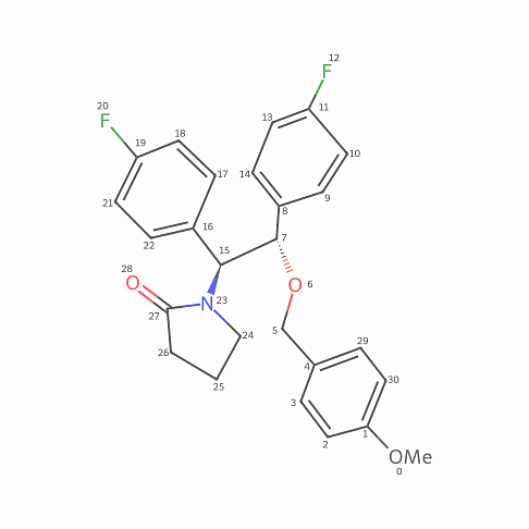 COc1ccc(CO[C@@H](c2ccc(F)cc2)[C@H](c2ccc(F)cc2)N2CCCC2=O)cc1